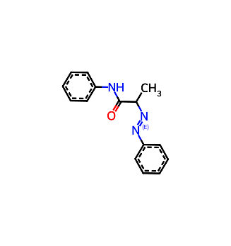 CC(/N=N/c1ccccc1)C(=O)Nc1ccccc1